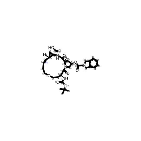 CC(C)(C)OC(=O)N[C@H]1CCCCC/C=C\[C@@H]2C[C@@]2(C(=O)O)NC(=O)[C@@H]2C[C@@H](OC(=O)N3Cc4ccccc4C3)CN2C1=O